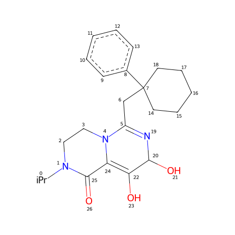 CC(C)N1CCN2C(CC3(c4ccccc4)CCCCC3)=NC(O)C(O)=C2C1=O